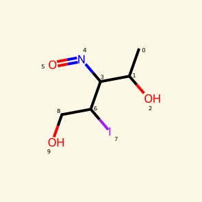 CC(O)C(N=O)C(I)CO